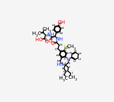 CCCCC1(CCCC)CN(C2=CCCC=C2)c2cc(SC)c(CCC(=O)N[C@@H](C(=O)N[C@H](C(=O)O)C(C)C)c3ccc(O)cc3)cc2CN1